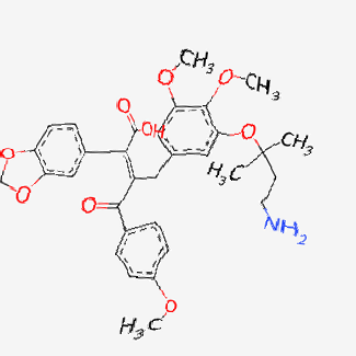 COc1ccc(C(=O)C(Cc2cc(OC)c(OC)c(OC(C)(C)CCN)c2)=C(C(=O)O)c2ccc3c(c2)OCO3)cc1